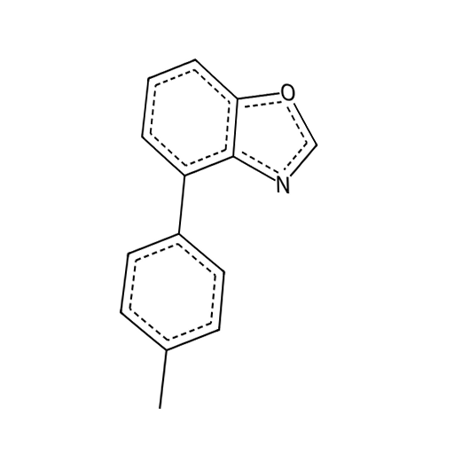 Cc1ccc(-c2cccc3ocnc23)cc1